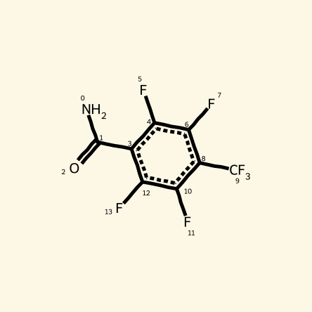 NC(=O)c1c(F)c(F)c(C(F)(F)F)c(F)c1F